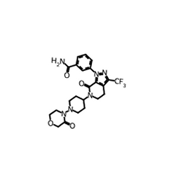 NC(=O)c1cccc(-n2nc(C(F)(F)F)c3c2C(=O)N(C2CCN(N4CCOCC4=O)CC2)CC3)c1